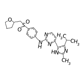 Cc1nc(C(C)C)c(-c2ccnc(Nc3ccc(S(=O)(=O)CC4CCCO4)cc3)n2)[nH]1